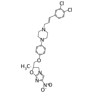 C[C@]1(COc2ccc(N3CCN(CC=Cc4ccc(Cl)c(Cl)c4)CC3)cc2)Cn2cc([N+](=O)[O-])nc2O1